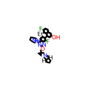 CCc1c(F)ccc2cc(O)cc(-c3ccc4c(N5CC6CCC(C5)N6)nc(OCC5(CN6C[C@H]7CCC[C@H]7C6)CC5)nc4c3F)c12